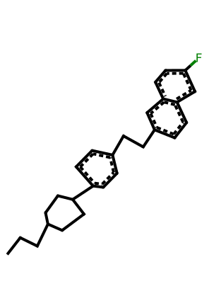 CCCC1CCC(c2ccc(CCc3ccc4cc(F)ccc4c3)cc2)CC1